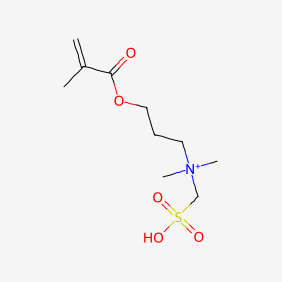 C=C(C)C(=O)OCCC[N+](C)(C)CS(=O)(=O)O